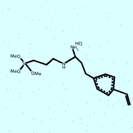 C=Cc1ccc(CCC(N)NCCC[Si](OC)(OC)OC)cc1.Cl